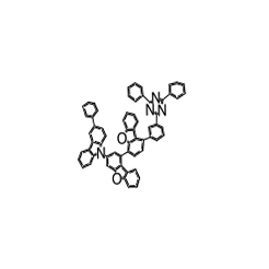 c1ccc(-c2ccc3c(c2)c2ccccc2n3-c2cc(-c3ccc(-c4cccc(-c5nc(-c6ccccc6)nc(-c6ccccc6)n5)c4)c4c3oc3ccccc34)c3c(c2)oc2ccccc23)cc1